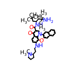 CN1CCCC1CCNc1ccc2c(=O)c(C(=O)NC(CC(C)(C)C)CC(C)(C)N)cn3c2c1Oc1cc2ccccc2cc1-3